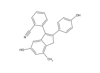 Cc1cc(O)cc2c1CC(c1ccc(O)cc1)=C2c1ccccc1C#N